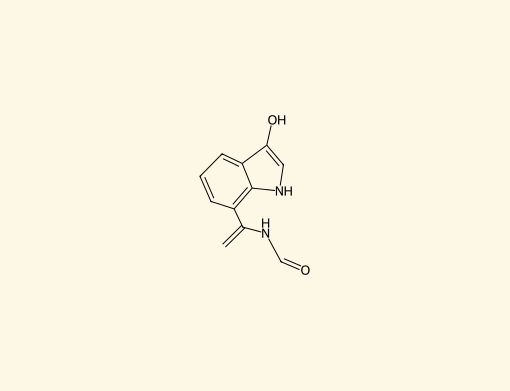 C=C(NC=O)c1cccc2c(O)c[nH]c12